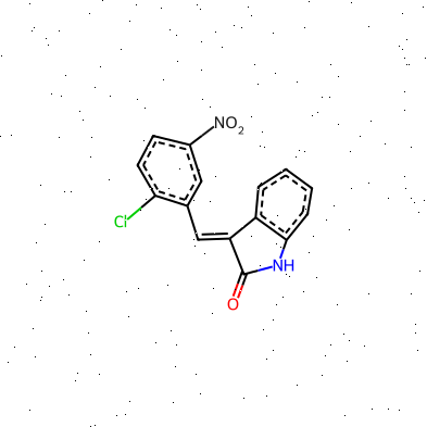 O=C1Nc2ccccc2C1=Cc1cc([N+](=O)[O-])ccc1Cl